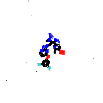 Cc1nc(/C(N)=C(\CNc2nccc(Oc3cc(F)cc(F)c3)n2)N(C)N)ccc1O